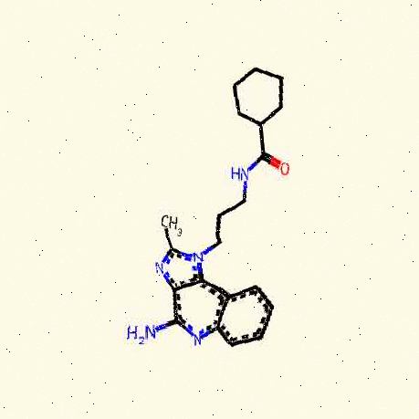 Cc1nc2c(N)nc3ccccc3c2n1CCCNC(=O)C1CCCCC1